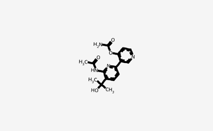 CC(=O)Nc1nc(-c2cnccc2OC(N)=O)ccc1C(C)(C)O